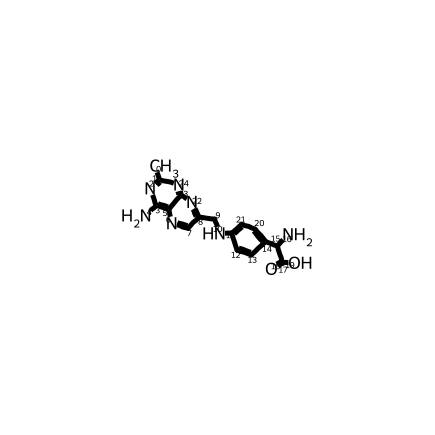 Cc1nc(N)c2ncc(CNc3ccc(C(N)C(=O)O)cc3)nc2n1